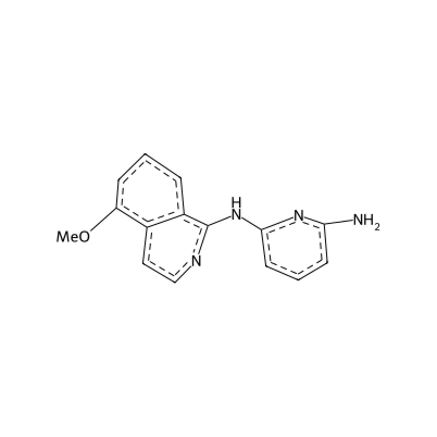 COc1cccc2c(Nc3cccc(N)n3)nccc12